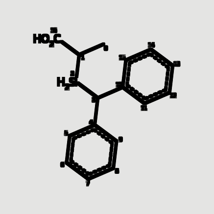 CC([SiH2]C(c1ccccc1)c1ccccc1)C(=O)O